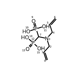 C=CCN(CC=C)C(P(=O)(O)O)P(=O)(O)O